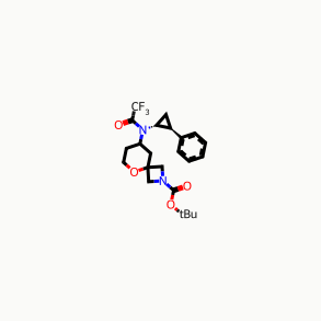 CC(C)(C)OC(=O)N1CC2(CC(N(C(=O)C(F)(F)F)[C@@H]3C[C@H]3c3ccccc3)CCO2)C1